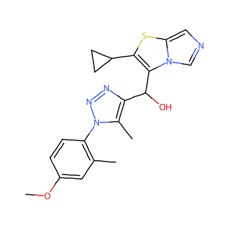 COc1ccc(-n2nnc(C(O)c3c(C4CC4)sc4cncn34)c2C)c(C)c1